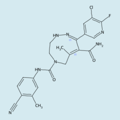 C/C1=C(C(N)=O)\C(c2cnc(F)c(Cl)c2)=N/NCCN(C(=O)Nc2ccc(C#N)c(C)c2)C1